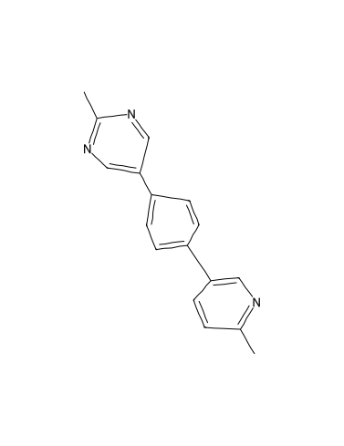 Cc1ccc(-c2ccc(-c3cnc(C)nc3)cc2)cn1